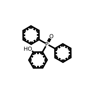 O=P(c1ccccc1)(c1ccccc1)c1ccccc1O